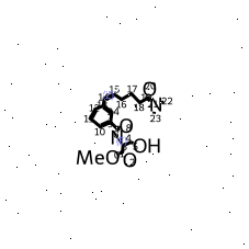 COC(=O)/C(CO)=N/C(=O)c1cccc(/C=C\CCCC(=O)N(C)C)c1